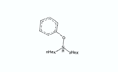 CCCCCC[SiH](CCCCCC)Oc1ccccc1